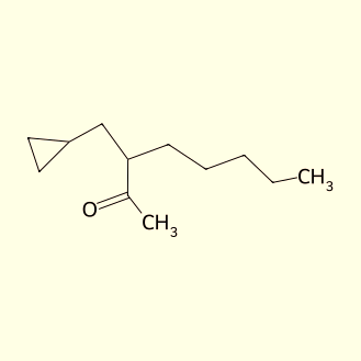 CCCCCC(CC1CC1)C(C)=O